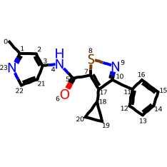 Cc1cc(NC(=O)c2snc(-c3ccccc3)c2C2CC2)ccn1